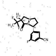 CC(F)(F)[C@]1(C)CN2CC[C@H](c3cc(F)cc(C#N)c3)N2C1=O